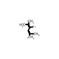 CC(C)=CC(F)=C(C)C